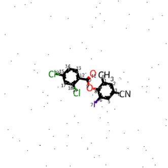 Cc1cc(C#N)cc(I)c1OC(=O)c1ccc(Cl)cc1Cl